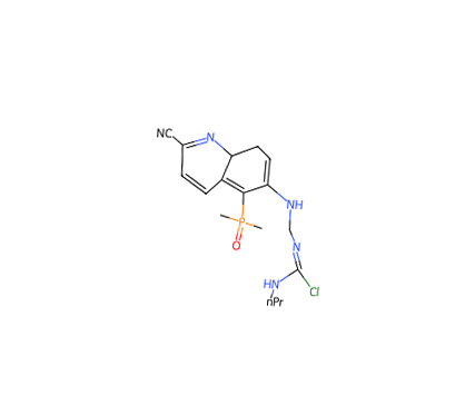 CCCN/C(Cl)=N\CNC1=CCC2N=C(C#N)C=CC2=C1P(C)(C)=O